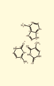 Cc1c[nH]c(=O)[nH]c1=O.Nc1cc[nH]c(=O)n1.Nc1ncnc2[nH]cnc12